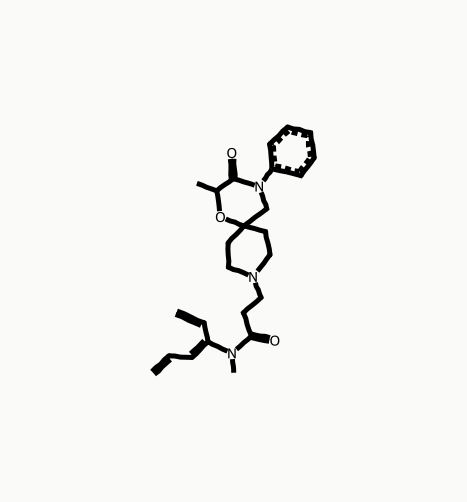 C=C/C=C(\C=C)N(C)C(=O)CCN1CCC2(CC1)CN(c1ccccc1)C(=O)C(C)O2